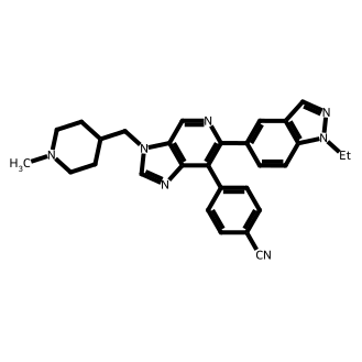 CCn1ncc2cc(-c3ncc4c(ncn4CC4CCN(C)CC4)c3-c3ccc(C#N)cc3)ccc21